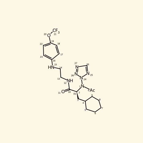 CC(=O)N([C@@H](CC1CCCCC1)C(=O)NCCNc1ccc(OC(F)(F)F)cc1)n1ncnn1